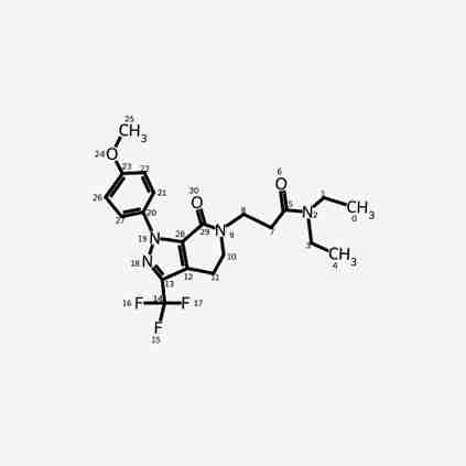 CCN(CC)C(=O)CCN1CCc2c(C(F)(F)F)nn(-c3ccc(OC)cc3)c2C1=O